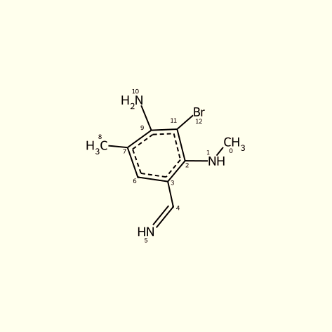 CNc1c(C=N)cc(C)c(N)c1Br